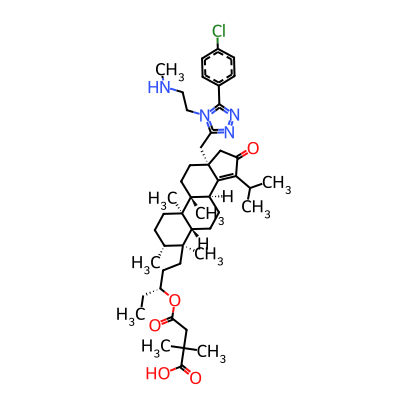 CC[C@H](CC[C@@]1(C)[C@H](C)CC[C@]2(C)[C@@H]1CC[C@@H]1C3=C(C(C)C)C(=O)C[C@]3(Cc3nnc(-c4ccc(Cl)cc4)n3CCNC)CC[C@]12C)OC(=O)CC(C)(C)C(=O)O